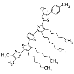 CCCCCCc1c(-c2ccc(-c3sc(-c4cc(C)c(-c5ccc(C)cc5)s4)c(CCCCCC)c3CCCCCC)s2)sc(-c2cc(C)c(C)s2)c1CCCCCC